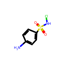 Nc1ccc(S(=O)(=O)NCl)cc1